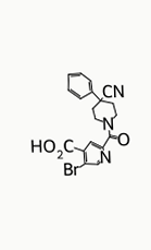 N#CC1(c2ccccc2)CCN(C(=O)c2cc(C(=O)O)c(Br)cn2)CC1